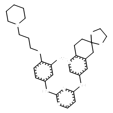 COc1cc(Nc2nccc(Nc3cnc4c(c3)CC3(CC4)OCCO3)n2)ccc1OCCCN1CCCCC1